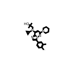 [CH]c1ccc(-c2cnc3c(N(CC(C)(C)O)C4CC4)cc(N4CCCCC4)nn23)cc1C